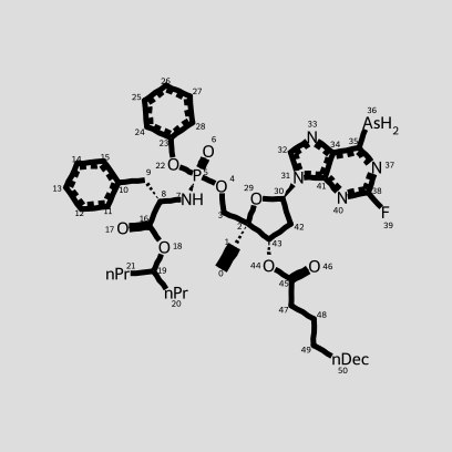 C#C[C@]1(CO[P@@](=O)(N[C@@H](Cc2ccccc2)C(=O)OC(CCC)CCC)Oc2ccccc2)O[C@@H](n2cnc3c([AsH2])nc(F)nc32)C[C@@H]1OC(=O)CCCCCCCCCCCCC